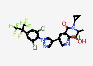 CC(C(=O)O)N(C(=O)c1cc(-c2cnn(-c3c(Cl)cc(C(F)(C(F)(F)F)C(F)(F)F)cc3Cl)c2)cnc1Cl)C1CC1